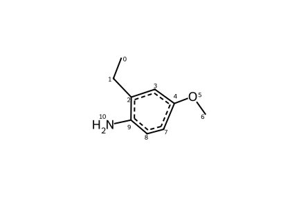 CCc1cc(OC)ccc1N